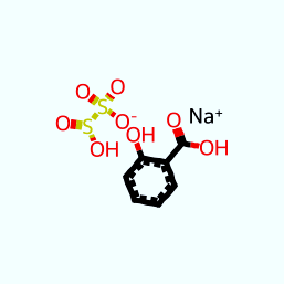 O=C(O)c1ccccc1O.O=S(O)S(=O)(=O)[O-].[Na+]